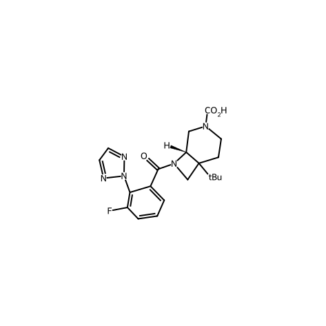 CC(C)(C)C12CCN(C(=O)O)C[C@H]1N(C(=O)c1cccc(F)c1-n1nccn1)C2